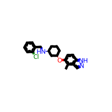 Cc1c(O[C@H]2CCC[C@@H](NCc3ccccc3Cl)C2)ccc2[nH]ncc12